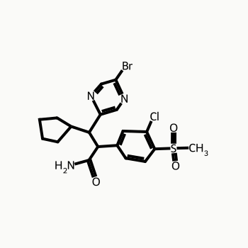 CS(=O)(=O)c1ccc(C(C(N)=O)C(c2cnc(Br)cn2)C2CCCC2)cc1Cl